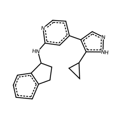 c1ccc2c(c1)CCC2Nc1cc(-c2cn[nH]c2C2CC2)ccn1